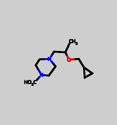 CC(CN1CCN(C(=O)O)CC1)OCC1CC1